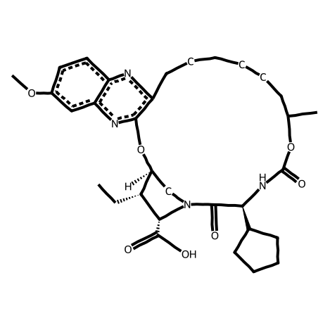 CC[C@@H]1[C@@H]2CN(C(=O)[C@H](C3CCCC3)NC(=O)OC(C)CCCCCCc3nc4ccc(OC)cc4nc3O2)[C@@H]1C(=O)O